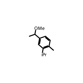 COC(C)c1ccc(C)c(C(C)C)c1